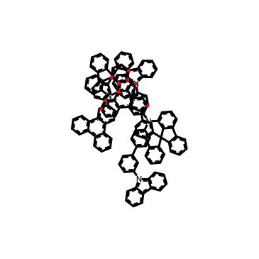 c1cc(-c2ccc(N(c3ccc4c5ccccc5c5ccccc5c4c3)c3cccc4c3C3(c5ccccc5-c5ccc(-c6ccc(-n7c8ccccc8c8ccc(-c9ccccc9N(c9ccc%10c%11ccccc%11c%11ccccc%11c%10c9)c9cccc%10c9C9(c%11ccccc%11-c%11ccccc%119)c9ccccc9-%10)cc87)cc6)cc53)c3ccccc3-4)cc2)cc(-n2c3ccccc3c3ccccc32)c1